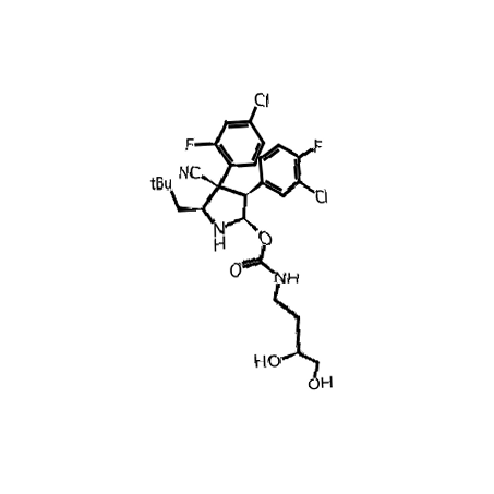 CC(C)(C)C[C@@H]1N[C@H](OC(=O)NCC[C@H](O)CO)[C@H](c2ccc(F)c(Cl)c2)[C@@]1(C#N)c1ccc(Cl)cc1F